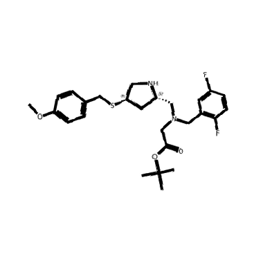 COc1ccc(CS[C@H]2CN[C@H](CN(CC(=O)OC(C)(C)C)Cc3cc(F)ccc3F)C2)cc1